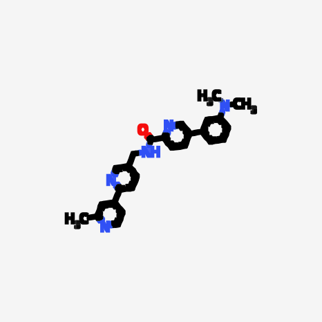 Cc1cc(-c2ccc(CNC(=O)c3ccc(-c4cccc(N(C)C)c4)cn3)cn2)ccn1